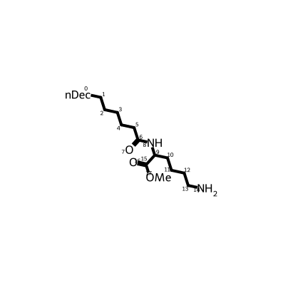 CCCCCCCCCCCCCCCC(=O)NC(CCCCN)C(=O)OC